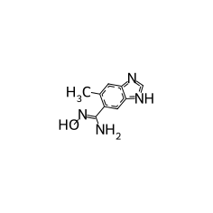 Cc1cc2nc[nH]c2cc1C(N)=NO